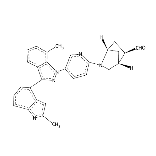 Cc1cccc2c(-c3cccc4nn(C)cc34)nn(-c3ccc(N4C[C@@H]5C[C@H]4C[C@H]5C=O)nc3)c12